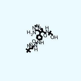 CC(C)(CO)NC(=O)c1cn2ncnc(N)c2c1-c1ccc(NC(=O)Nc2cc(C(C)(C)C)no2)cc1